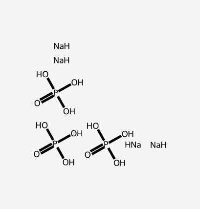 O=P(O)(O)O.O=P(O)(O)O.O=P(O)(O)O.[NaH].[NaH].[NaH].[NaH]